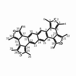 Cc1sc(C)c2c1c1cc3cc4c(cc3cc1c1c(C)sc(C)c12)c1c(C)sc(C)c1c1c(C)sc(C)c41